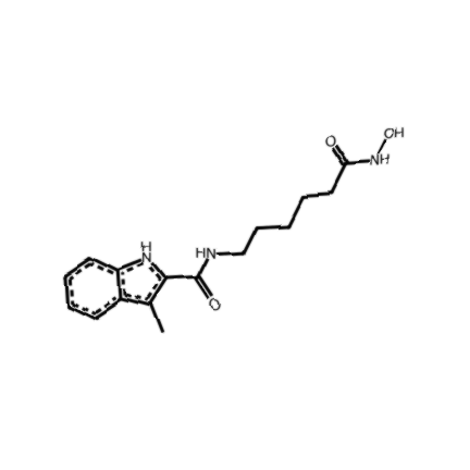 Cc1c(C(=O)NCCCCCC(=O)NO)[nH]c2ccccc12